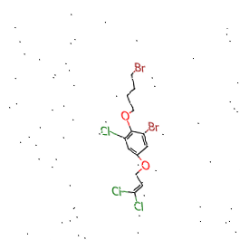 ClC(Cl)=CCOc1cc(Cl)c(OCCCCBr)c(Br)c1